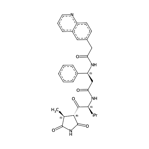 CC(C)[C@H](NC(=O)C[C@H](NC(=O)Cc1ccc2ncccc2c1)c1ccccc1)C(=O)[C@@H]1C(=O)NC(=O)[C@H]1C